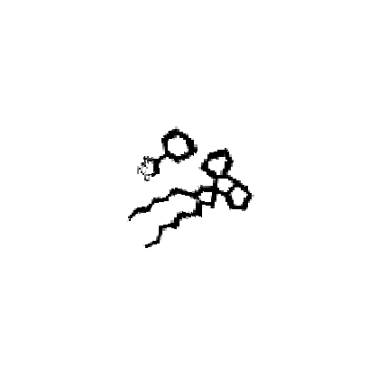 CCCCCCCCC1(CCCCCCCC)c2ccccc2-c2ccccc21.c1ccc(-c2conn2)cc1